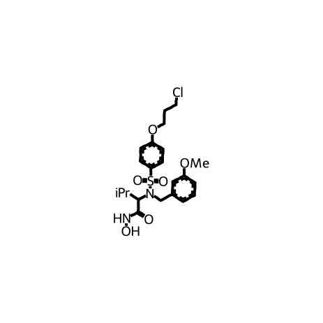 COc1cccc(CN(C(C(=O)NO)C(C)C)S(=O)(=O)c2ccc(OCCCCl)cc2)c1